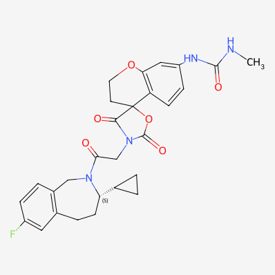 CNC(=O)Nc1ccc2c(c1)OCCC21OC(=O)N(CC(=O)N2Cc3ccc(F)cc3CC[C@H]2C2CC2)C1=O